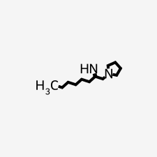 CCCCCCC(=N)CN1CCCC1